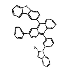 CCc1nc2ccccc2n1-c1cccc(-c2c3ccccc3c(-c3ccc4sc5ccccc5c4c3)c3cc(-c4ccccc4)ccc23)c1